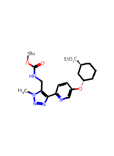 CCOC(=O)[C@H]1CCC[C@H](Oc2ccc(-c3nnn(C)c3CNC(=O)OC(C)(C)C)nc2)C1